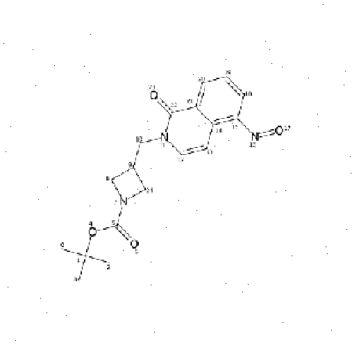 CC(C)(C)OC(=O)N1CC(Cn2ccc3c(N=O)cccc3c2=O)C1